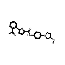 CNC1CCN(c2ccc(NC(=O)c3ccc(-c4ccccc4C(C)=O)s3)cc2)C1